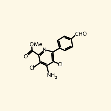 COC(=O)c1nc(-c2ccc(C=O)cc2)c(Cl)c(N)c1Cl